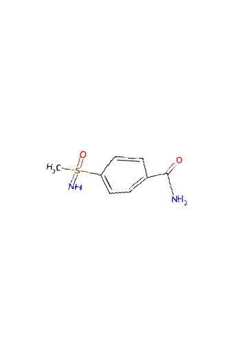 CS(=N)(=O)c1ccc(C(N)=O)cc1